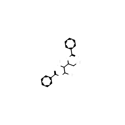 CC(OC(=O)c1ccccc1)C(C)C(CC(F)(F)F)OC(=O)c1ccccc1